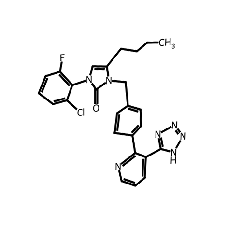 CCCCc1cn(-c2c(F)cccc2Cl)c(=O)n1Cc1ccc(-c2ncccc2-c2nnn[nH]2)cc1